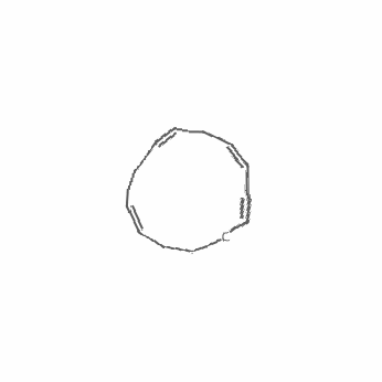 [CH]1CC=CC=CCC=CCC=CC1